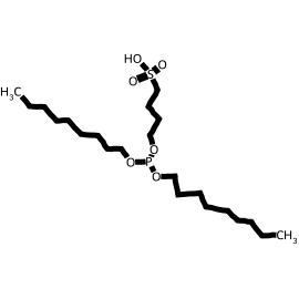 CCCCCCCCCOP(OCCCCCCCCC)OCCCCS(=O)(=O)O